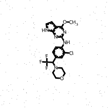 COc1nc(Nc2ccc(C(N3CCOCC3)C(F)(F)F)cc2Cl)nc2[nH]ccc12